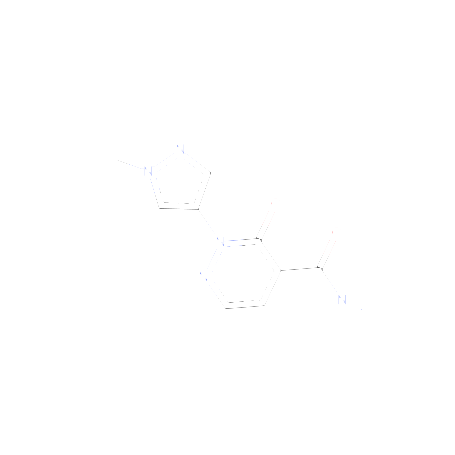 Cn1cc(-n2nccc(C(N)=O)c2=O)cn1